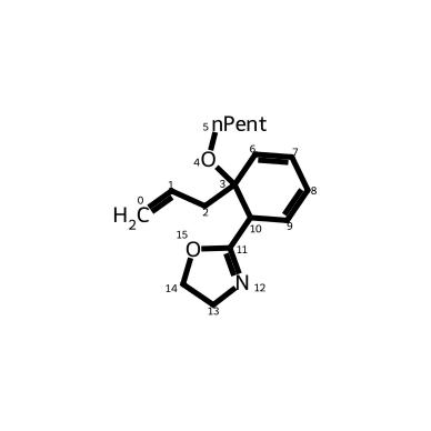 C=CCC1(OCCCCC)C=CC=CC1C1=NCCO1